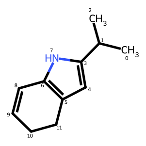 CC(C)c1cc2c([nH]1)C=CCC2